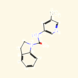 O=C(Nc1cncc([N+](=O)[O-])c1)N1CCc2ccccc21